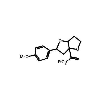 C=C(C(=O)OCC)C12CC(c3ccc(OC)cc3)OC1CCO2